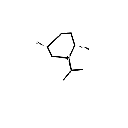 CC(C)N1C[C@H](C)CC[C@@H]1C